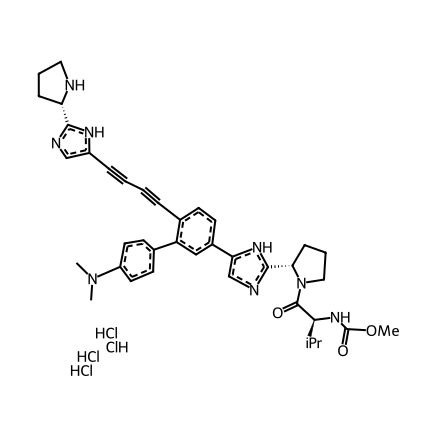 COC(=O)N[C@H](C(=O)N1CCC[C@H]1c1ncc(-c2ccc(C#CC#Cc3cnc([C@@H]4CCCN4)[nH]3)c(-c3ccc(N(C)C)cc3)c2)[nH]1)C(C)C.Cl.Cl.Cl.Cl